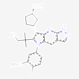 COc1cc(-n2c(C(C)(C)CC#N)c([C@@H]3CC[C@@H](C(=O)O)C3)c3nc4[nH]ncc4cc32)ccc1F